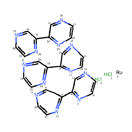 Cl.Cl.[Ru].c1cnc(-c2cnccn2)cn1.c1cnc(-c2cnccn2)cn1.c1cnc(-c2cnccn2)cn1